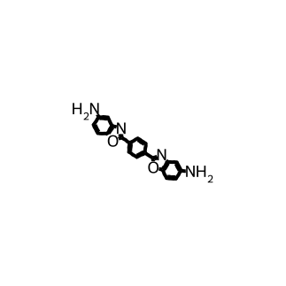 Nc1ccc2oc(-c3ccc(-c4nc5cc(N)ccc5o4)cc3)nc2c1